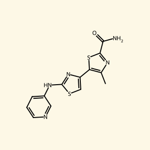 Cc1nc(C(N)=O)sc1-c1csc(Nc2cccnc2)n1